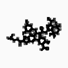 CC(=O)c1cc(-c2cc3sc(NCCN(C)C)nc3nc2C(Cc2cc(F)cc(F)c2)NC(=O)Cn2nc(C(F)F)c3c2C(F)(F)CCC3(F)F)ccc1F